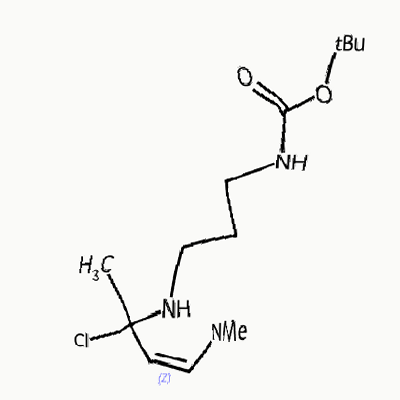 CN/C=C\C(C)(Cl)NCCCNC(=O)OC(C)(C)C